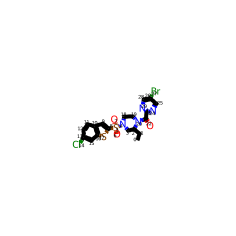 CCC1CN(S(=O)(=O)c2cc3ccc(Cl)cc3s2)CCN1C(=O)c1ncc(Br)cn1